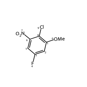 COc1cc(F)cc([N+](=O)[O-])c1Cl